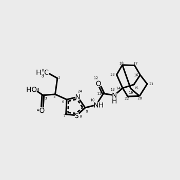 CCC(C(=O)O)c1csc(NC(=O)NC23CC4CC(CC(C4)C2)C3)n1